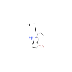 CCC[C]1CCCc2c1[nH]c1cccc(Br)c21